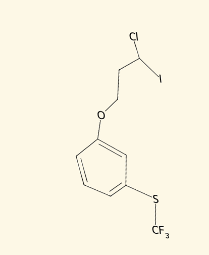 FC(F)(F)Sc1cccc(OCCC(Cl)I)c1